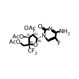 CC(=O)OC[C@@]1(C(F)(F)F)O[C@@H](n2cc(F)c(N)nc2=O)[C@@H](OC(C)=O)[C@@H]1OC(C)=O